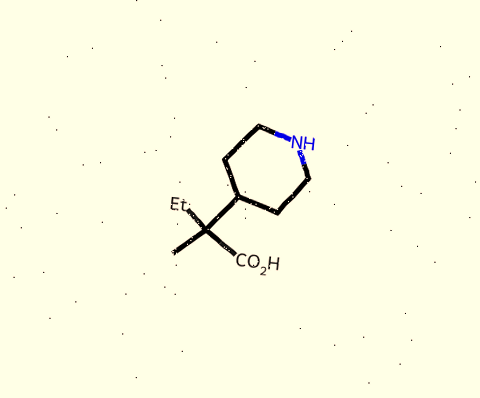 CCC(C)(C(=O)O)C1CCNCC1